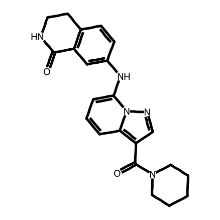 O=C1NCCc2ccc(Nc3cccc4c(C(=O)N5CCCCC5)cnn34)cc21